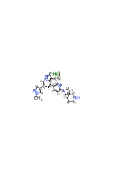 Cl.Cl.Cn1cc(-c2cc(-c3ccc(N4CCC5(CCCNC5)C4)nc3)c3c(C#N)cnn3c2)cn1